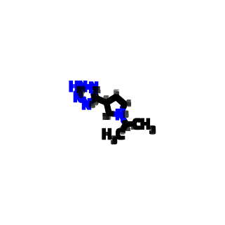 CC(C)N1CCC(c2nn[nH]n2)C1